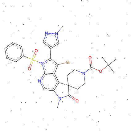 CN1C(=O)C2(CCN(C(=O)OC(C)(C)C)CC2)c2c1cnc1c2c(Br)c(-c2cnn(C)c2)n1S(=O)(=O)c1ccccc1